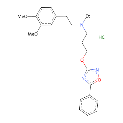 CCN(CCCOc1noc(-c2ccccc2)n1)CCc1ccc(OC)c(OC)c1.Cl